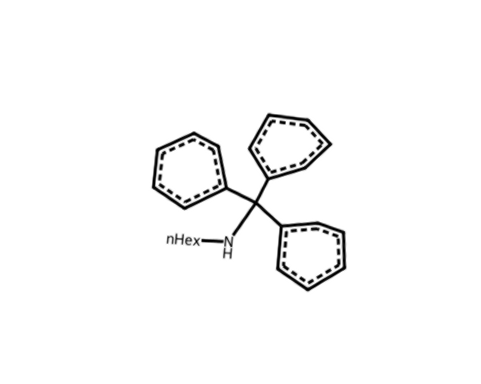 CCCCCCNC(c1ccccc1)(c1ccccc1)c1ccccc1